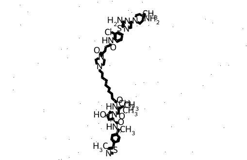 Cc1ncsc1-c1ccc([C@@H](C)NC(=O)[C@H]2C[C@H](O)CN2C(=O)[C@H](NC(=O)CCCCCCCCCN2CCN(C(=O)CCC(=O)Nc3cccc(Sc4ncc(N5CCC(C)(N)CC5)nc4N)c3Cl)CC2)C(C)(C)C)cc1